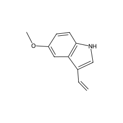 C=Cc1c[nH]c2ccc(OC)cc12